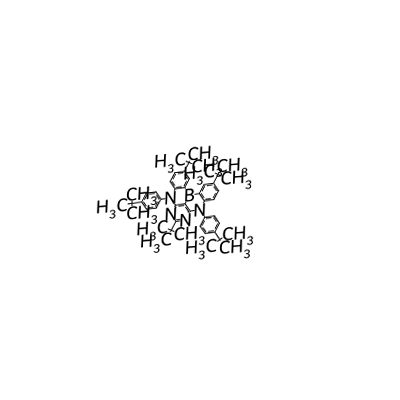 CC(C)(C)c1ccc(N2c3ccc(C(C)(C)C)cc3B3c4cc(C(C)(C)C)ccc4N(c4ccc(C(C)(C)C)cc4)c4nc(C(C)(C)C)nc2c43)cc1